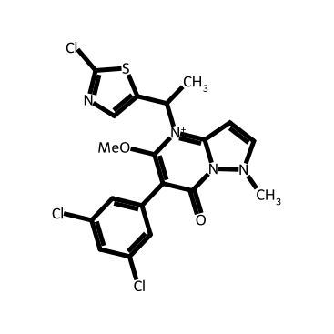 COc1c(-c2cc(Cl)cc(Cl)c2)c(=O)n2c(ccn2C)[n+]1C(C)c1cnc(Cl)s1